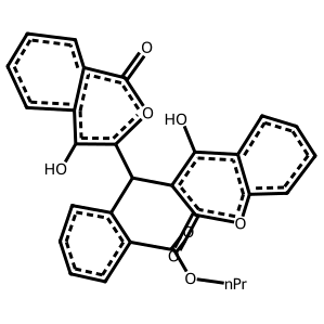 CCCOC(=O)c1ccccc1C(c1oc(=O)c2ccccc2c1O)c1c(O)c2ccccc2oc1=O